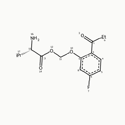 CCC(=O)c1ccc(F)[c]c1OCOC(=O)[C@@H](N)C(C)C